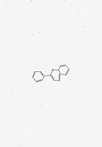 C1=CC2=CC=C(c3ccccc3)OC2C=C1